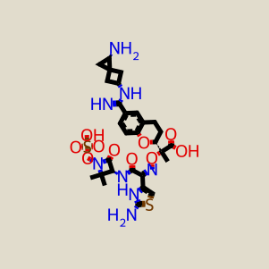 CC(O/N=C(\C(=O)N[C@@H]1C(=O)N(OS(=O)(=O)O)C1(C)C)c1csc(N)n1)(C(=O)O)[C@H]1CCc2cc(C(=N)NC3CC4(C3)C[C@H]4N)ccc2O1